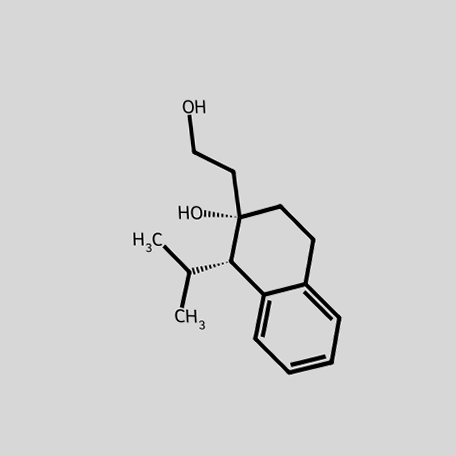 CC(C)[C@H]1c2ccccc2CC[C@]1(O)CCO